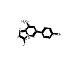 Cc1cc(-c2ccc(Cl)cc2)cn2c(I)cnc12